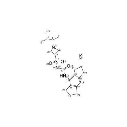 CC(C(F)F)N1CC(S(=O)(=O)NC(=O)Nc2c3c(cc4c2CCC4)CCC3)C1.[K]